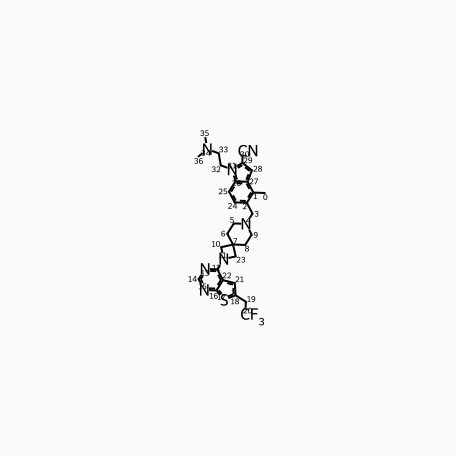 Cc1c(CN2CCC3(CC2)CN(c2ncnc4sc(CC(F)(F)F)cc24)C3)ccc2c1cc(C#N)n2CCN(C)C